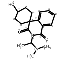 CC(N(C)C)N1C(=O)c2ccccc2C2(CCC(O)CC2)C1=O